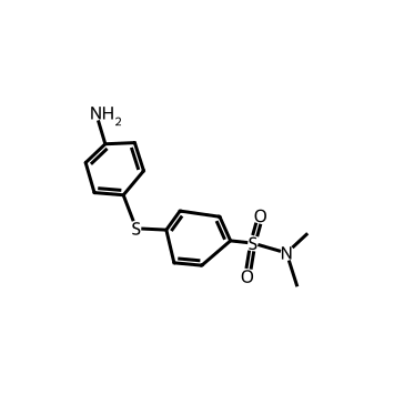 CN(C)S(=O)(=O)c1ccc(Sc2ccc(N)cc2)cc1